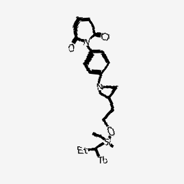 CC[CH]([Tb])[Si](C)(C)OCCC1CN(c2ccc(N3C(=O)CCCC3=O)cc2)C1